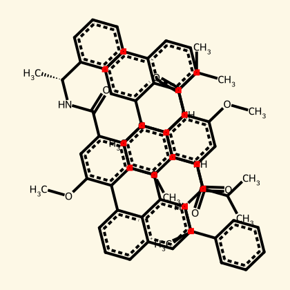 COc1cc(C(=O)N[C@H](C)c2ccccc2)cc(OC)c1-c1cccc2cccc(-c3ccc(-c4cccc5cccc(-c6c(OC)cc(C(=O)N[C@H](C)c7ccccc7)cc6OC)c45)c(NC(=O)C(C)C)c3NC(=O)C(C)C)c12